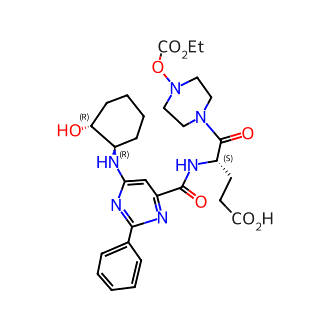 CCOC(=O)ON1CCN(C(=O)[C@H](CCC(=O)O)NC(=O)c2cc(N[C@@H]3CCCC[C@H]3O)nc(-c3ccccc3)n2)CC1